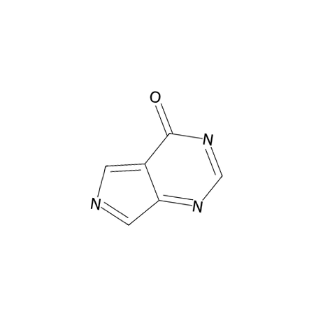 O=C1N=CN=C2C=NC=C12